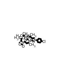 Cc1cc(N2C(=O)OC[C@@H]2[C@@H](C)OC(C)(C)C)nc(N[C@@H](C)c2cn(-c3ccc(Cl)cc3)nn2)n1